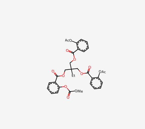 CCC(COC(=O)c1ccccc1OC(C)=O)(COC(=O)c1ccccc1OC(C)=O)COC(=O)c1ccccc1OC(=O)OC